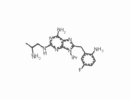 CC(N)CNc1nc(N)c2nc(Cc3cc(F)ccc3N)n(C(C)C)c2n1